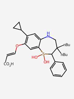 CCCCC1(CCCC)CNc2cc(C3CC3)c(O/C=C/C(=O)O)cc2S(O)(O)C1c1ccccc1